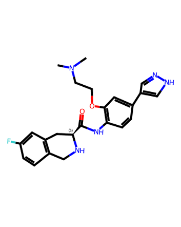 CN(C)CCOc1cc(-c2cn[nH]c2)ccc1NC(=O)[C@@H]1Cc2cc(F)ccc2CN1